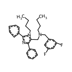 CCCCN(Cc1cc(F)cc(F)c1)Cc1c(-c2ccccc2)nc(-c2ccccc2)n1CCCC